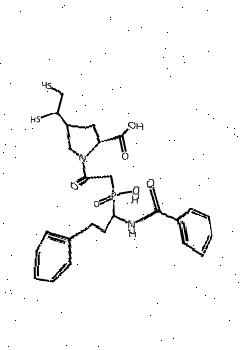 O=C(NC(CCc1ccccc1)P(=O)(O)CC(=O)N1CC(C(S)CS)C[C@H]1C(=O)O)c1ccccc1